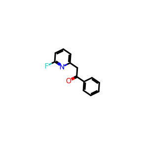 O=C(Cc1cccc(F)n1)c1ccccc1